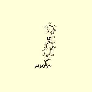 COC(=O)C=Cc1ccc2cc(OCc3ccccc3)ccc2c1